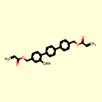 C=CC(=O)OCc1ccc(-c2ccc(-c3ccc(COC(=O)C=C)cc3OC)cc2)cc1